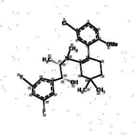 COc1ccc(Cl)cc1C1=C(N(C)[C@@H](C)[C@H](O)c2cc(F)cc(F)c2)CC(C)(C)CC1